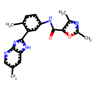 Cc1nc(C)c(C(=O)Nc2ccc(C)c(-c3nc4ncc(C(F)(F)F)cc4[nH]3)c2)o1